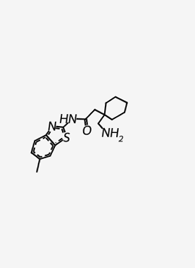 Cc1ccc2nc(NC(=O)CC3(CN)CCCCC3)sc2c1